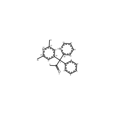 CC(=O)C(c1ccccc1)(c1cc(C)nc(C)c1)c1ccccn1